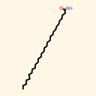 CCCCCCCCCCCCCCCCCCCCCCCCCCCCCC([NH])=O